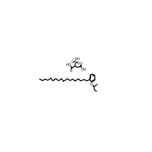 CCCCCCCCCCCCCCCCCCc1ccccc1O[CH]([K])CC.O=C(O)CC(C(=O)O)S(=O)(=O)O